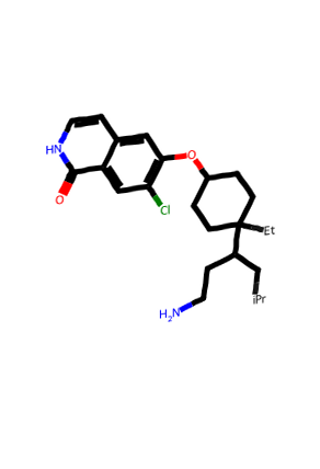 CCC1(C(CCN)CC(C)C)CCC(Oc2cc3cc[nH]c(=O)c3cc2Cl)CC1